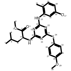 COC(=O)[C@H](CC(C)C)Nc1nc(Nc2cc(Cl)ccc2C)nc(Sc2ccc(OC)cc2)n1